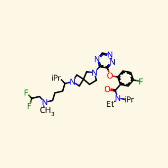 CCN(C(=O)c1cc(F)ccc1Oc1nncnc1N1CCC2(C1)CN(C(CCCN(C)CC(F)F)C(C)C)C2)C(C)C